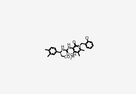 Cc1ccc([C@H](CC(=O)O)NC(=O)Nc2c(O)c(C)c(C)n(Cc3ccccc3Cl)c2=O)cc1C